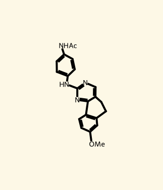 COc1ccc2c(c1)CCc1cnc(Nc3ccc(NC(C)=O)cc3)nc1-2